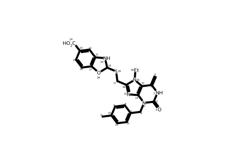 C=C1NC(=O)N(Cc2ccc(C)cc2)c2nc(CSC3Nc4cc(C(=O)O)ccc4O3)n(CC)c21